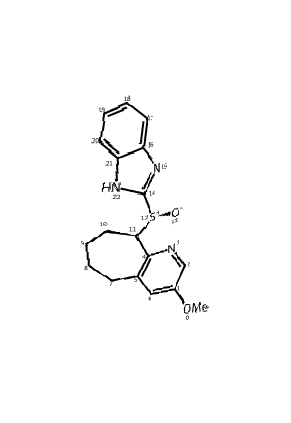 COc1cnc2c(c1)CCCC[C@H]2[S@+]([O-])c1nc2ccccc2[nH]1